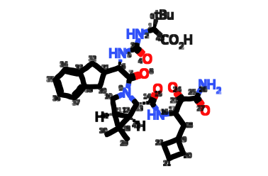 CC(C)(C)[C@H](NC(=O)N[C@H](C(=O)N1C[C@H]2[C@@H]([C@H]1C(=O)NC(CC1CCC1)C(=O)C(N)=O)C2(C)C)C1Cc2ccccc2C1)C(=O)O